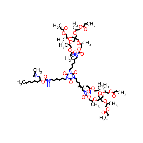 C=CC(=O)OCC(C)OCC(COC(C)COC(=O)C=C)(COC(C)COC(=O)C=C)COC(C)COC(=O)NCCCCCCn1c(=O)n(CCCCCCNC(=O)OCC(C)OCC(COC(C)COC(=O)C=C)(COC(C)COC(=O)C=C)COC(C)COC(=O)C=C)c(=O)n(CCCCCCNC(=O)OC(CCCCCC)CN2CC2C)c1=O